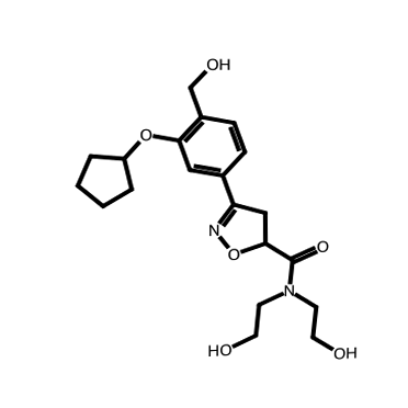 O=C(C1CC(c2ccc(CO)c(OC3CCCC3)c2)=NO1)N(CCO)CCO